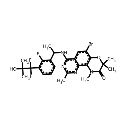 Cc1nc(NC(C)c2cccc(C(F)(F)C(C)(C)O)c2F)c2cc(Br)c3c(c2n1)N(C)C(=O)C(C)(C)O3